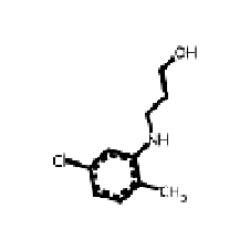 Cc1ccc(Cl)cc1NCCCO